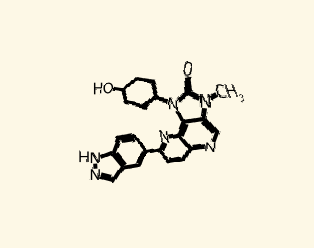 Cn1c(=O)n(C2CCC(O)CC2)c2c3nc(-c4ccc5[nH]ncc5c4)ccc3ncc21